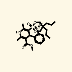 CCCC1(CCC)COP(=O)(C2=C(C)NC(C)=C(C(=O)OC)C2c2ccccc2[N+](=O)[O-])OC1